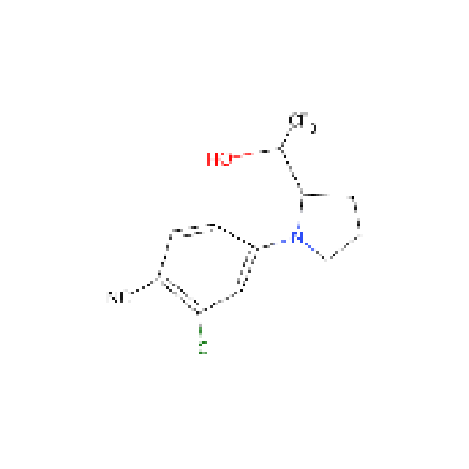 CC1CCC(C(O)C(F)(F)F)N1c1ccc(C#N)c(Cl)c1